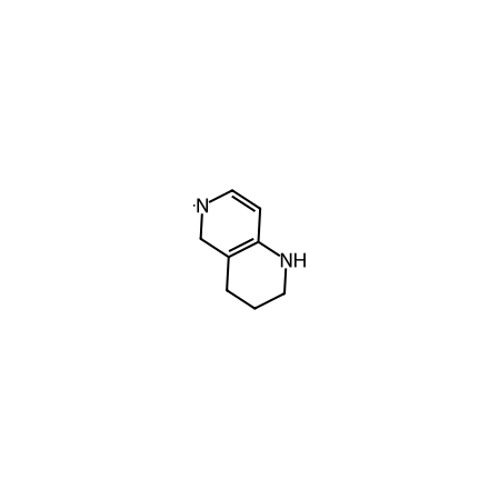 C1=CC2=C(CCCN2)C[N]1